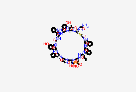 CCCC[C@H]1C(=O)N[C@H](CCC(=O)O)C(=O)N[C@@H](CC(O)=P)C(=O)N[C@@H](C(C)C)C(=O)N(C)[C@@H](Cc2ccccc2)C(=O)N[C@@H](Cc2ccc(O)cc2)C(=O)N(C)CC(=O)N[C@@H](Cc2c[nH]c3ccccc23)C(=O)N[C@@H](Cc2ccc(O)cc2)C(=O)N[C@@H](CC(C)C)C(=O)N[C@H](C(=O)NCC(N)=O)CSCC(=O)N[C@@H](Cc2ccccc2)C(=O)N(C)[C@@H](Cc2ccccc2)C(=O)N1C